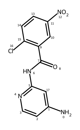 Nc1ccnc(NC(=O)c2cc([N+](=O)[O-])ccc2Cl)c1